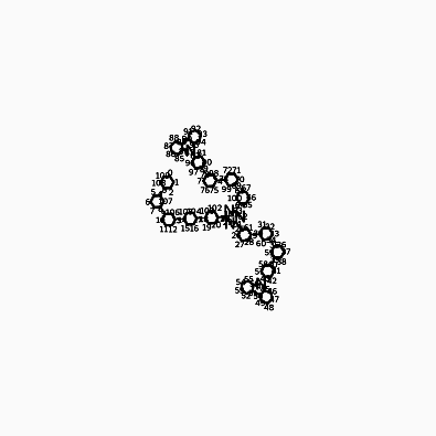 c1ccc(-c2cccc(-c3cccc(-c4ccc(-c5ccc(-c6nc(-c7cccc(-c8cccc(-c9cccc(-c%10ccc(-n%11c%12ccccc%12c%12ccccc%12%11)cc%10)c9)c8)c7)nc(-c7cccc(-c8cccc(-c9cccc(-c%10ccc(-n%11c%12ccccc%12c%12ccccc%12%11)cc%10)c9)c8)c7)n6)cc5)cc4)c3)c2)cc1